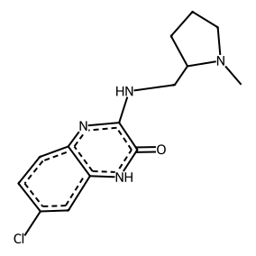 CN1CCCC1CNc1nc2ccc(Cl)cc2[nH]c1=O